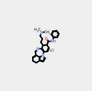 CN(C)CCCC1C2=C(C=CC1C(=O)Nc1ccccc1)n1ccc3c1C(=CCC3)C=N2.Cl